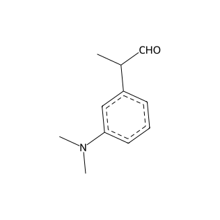 CC(C=O)c1cccc(N(C)C)c1